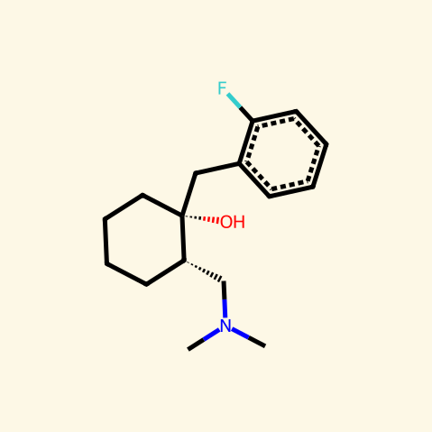 CN(C)C[C@@H]1CCCC[C@@]1(O)Cc1ccccc1F